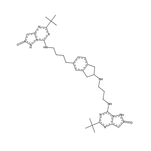 CC(C)(C)c1nc(NCCCCc2ccc3c(c2)CC(NCCCNc2nc(C(C)(C)C)nc4cc(=O)[nH]n24)C3)n2[nH]c(=O)cc2n1